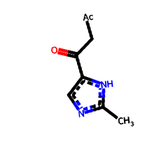 CC(=O)CC(=O)c1cnc(C)[nH]1